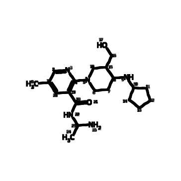 Cc1cnc(N2CCC(NC3CCCC3)C(CO)C2)c(C(=O)NC(C)N)c1